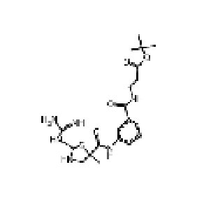 CC(C)(C)OC(=O)CCNC(=O)c1cccc(NC(=O)C2(C)CNC(NC(=N)N)S2)c1